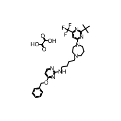 CC(C)(C)c1nc(N2CCCN(CCCCNc3nccc(OCc4ccccc4)n3)CC2)cc(C(F)(F)F)n1.O=C(O)C(=O)O